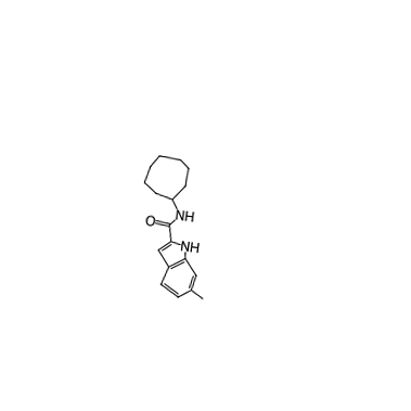 Cc1ccc2cc(C(=O)NC3CCCCCCC3)[nH]c2c1